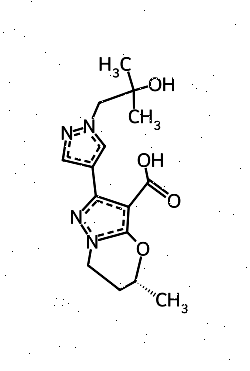 C[C@@H]1CCn2nc(-c3cnn(CC(C)(C)O)c3)c(C(=O)O)c2O1